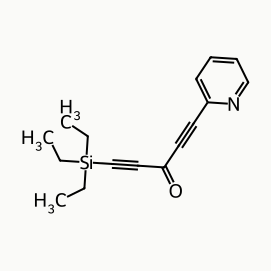 CC[Si](C#CC(=O)C#Cc1ccccn1)(CC)CC